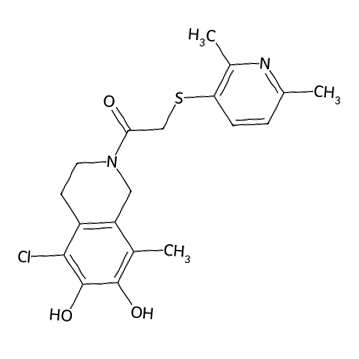 Cc1ccc(SCC(=O)N2CCc3c(Cl)c(O)c(O)c(C)c3C2)c(C)n1